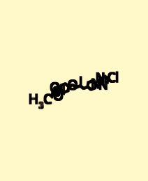 CCCS(=O)(=O)N1CCC(OC[C@H](I)CC2CCN(c3ncc(Cl)cn3)CC2)CC1